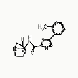 Cc1ccccc1-c1cnc(C(=O)N[C@H]2CN3CCC2CC3)s1